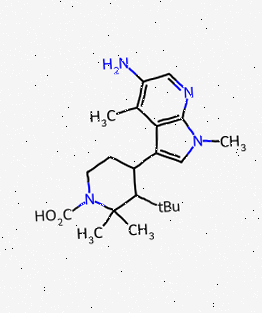 Cc1c(N)cnc2c1c(C1CCN(C(=O)O)C(C)(C)C1C(C)(C)C)cn2C